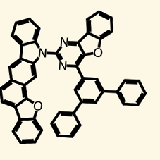 c1ccc(-c2cc(-c3ccccc3)cc(-c3nc(-n4c5ccccc5c5cc6ccc7c8ccccc8oc7c6cc54)nc4c3oc3ccccc34)c2)cc1